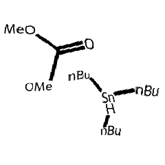 CCC[CH2][SnH]([CH2]CCC)[CH2]CCC.COC(=O)OC